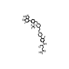 CNC(=O)CCC(C=O)Nc1ccc(C2CCN(CCC3CCN(Cc4ccc(-c5cn(C)c(=O)c6[nH]ncc56)cc4OC(F)(F)F)CC3)CC2)c(F)c1